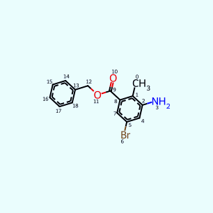 Cc1c(N)cc(Br)cc1C(=O)OCc1ccccc1